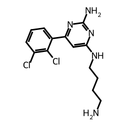 NCCCCNc1cc(-c2cccc(Cl)c2Cl)nc(N)n1